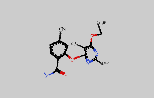 CCOC(=O)COc1nc(SC)nc(Oc2cc(C#N)ccc2C(N)=O)c1[N+](=O)[O-]